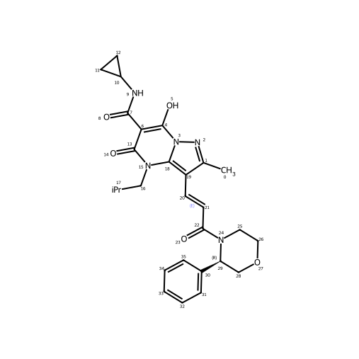 Cc1nn2c(O)c(C(=O)NC3CC3)c(=O)n(CC(C)C)c2c1/C=C/C(=O)N1CCOC[C@H]1c1ccccc1